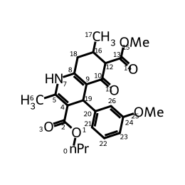 CCCOC(=O)C1=C(C)NC2=C(C(=O)C(C(=O)OC)C(C)C2)C1c1cccc(OC)c1